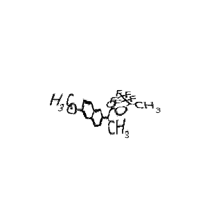 COc1ccc2cc([C@H](C)C(=O)O[C@H](C)C(F)(F)C(F)(F)F)ccc2c1